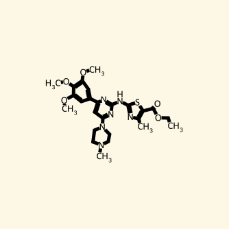 CCOC(=O)c1sc(Nc2nc(-c3cc(OC)c(OC)c(OC)c3)cc(N3CCN(C)CC3)n2)nc1C